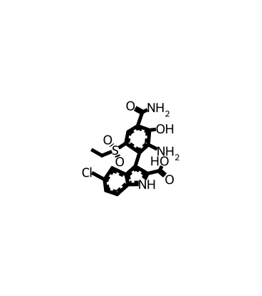 CCS(=O)(=O)c1cc(C(N)=O)c(O)c(N)c1-c1c(C(=O)O)[nH]c2ccc(Cl)cc12